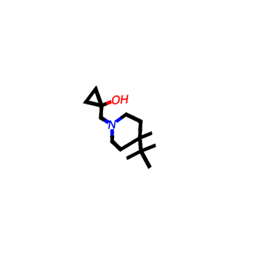 CC(C)(C)C1(C)CCN(CC2(O)CC2)CC1